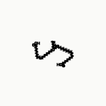 CN(C)Cc1cc(OCCCCCCCCC/C=C\C/C=C\CCCCCCCC(=O)O)cc(OCCCCCCCCC/C=C\C/C=C\CCCCCCCC(=O)O)c1